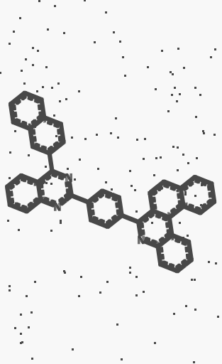 c1ccc2cc(-c3nc(-c4ccc(-c5nc6ccccc6c6c5ccc5ccccc56)cc4)nc4ccccc34)ccc2c1